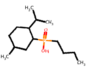 CCCCP(=O)(O)C1CC(C)CCC1C(C)C